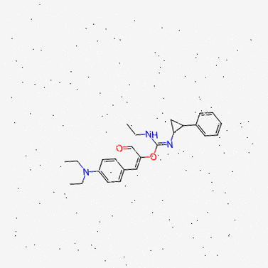 CCN/C(=N\C1CC1c1ccccc1)O/C(C=O)=C/c1ccc(N(CC)CC)cc1